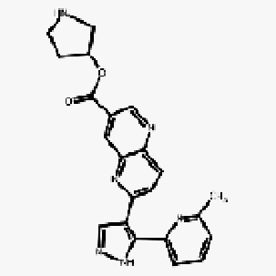 Cc1cccc(-c2[nH]ncc2-c2ccc3ncc(C(=O)O[C@H]4CCNC4)cc3n2)n1